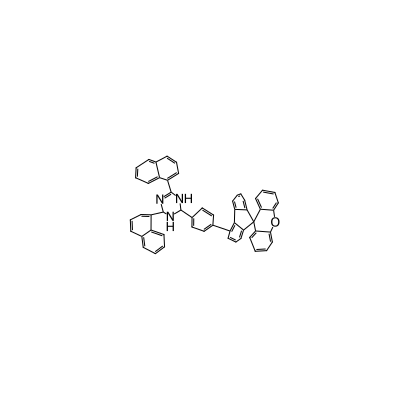 c1ccc2c(c1)Oc1ccccc1C21c2ccccc2-c2c(-c3ccc(C4NC(c5cccc6ccccc56)=NC(c5cccc6ccccc56)N4)cc3)cccc21